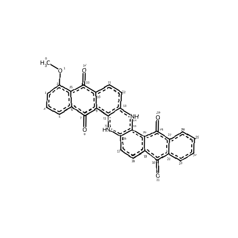 COc1cccc2c(=O)c3c(ccc4[nH]c5c(ccc6c(=O)c7ccccc7c(=O)c65)[nH]c43)c(=O)c12